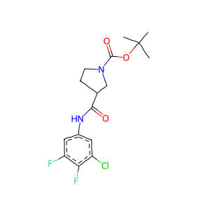 CC(C)(C)OC(=O)N1CCC(C(=O)Nc2cc(F)c(F)c(Cl)c2)C1